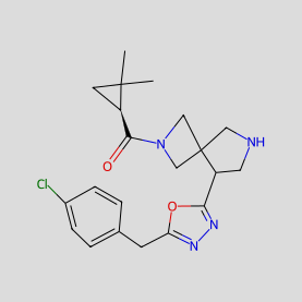 CC1(C)C[C@@H]1C(=O)N1CC2(CNCC2c2nnc(Cc3ccc(Cl)cc3)o2)C1